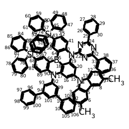 Cc1ccc2c(c1)c1cc(C)ccc1n2-c1cc2c3c(c1)N(c1nc(-c4ccccc4)nc(-c4ccccc4)n1)c1ccc([Si](c4ccccc4)(c4ccccc4)c4ccccc4)cc1B3c1cc([Si](c3ccccc3)(c3ccccc3)c3ccccc3)ccc1N2c1cc(-c2ccccc2)cc(-c2ccccc2)c1